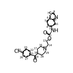 O=C(Nc1ccc2scnc2c1)OCCN1CCC(C(=O)c2ccc(Cl)cc2)CC1